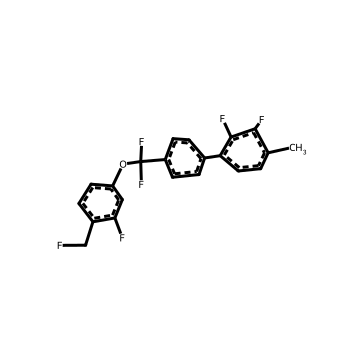 Cc1ccc(-c2ccc(C(F)(F)Oc3ccc(CF)c(F)c3)cc2)c(F)c1F